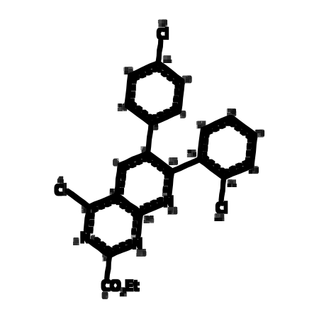 CCOC(=O)c1nc(Cl)c2cc(-c3ccc(Cl)cc3)c(-c3ccccc3Cl)nc2n1